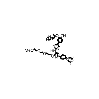 COCCOCCOCCCOc1nn(C2CCC(N3C[C@@H](C)O[C@@H](C)C3)CC2)cc1Nc1ncc(-c2ccc(C#N)c(OC(C)Cn3cncn3)c2)cn1